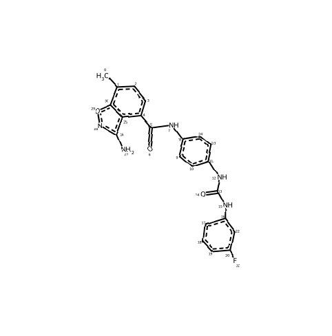 Cc1ccc(C(=O)Nc2ccc(NC(=O)Nc3cccc(F)c3)cc2)c2c(N)noc12